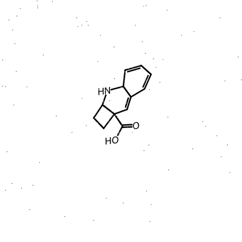 O=C(O)C12C=C3C=CC=CC3NC1CC2